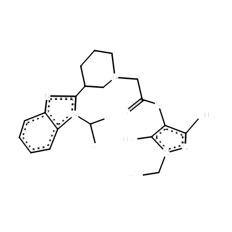 CCn1nc(C)c(NC(=O)CN2CCCC(c3nc4ccccc4n3C(C)C)C2)c1C